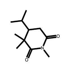 CC(C)C1CC(=O)N(C)C(=O)C1(C)C